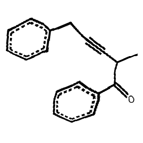 CC(C#CCc1ccccc1)C(=O)c1ccccc1